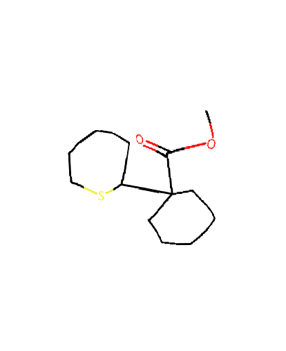 COC(=O)C1(C2CCCCS2)CCCCC1